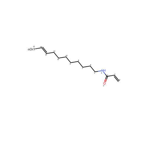 C=CC(=O)NCCCCCCCCC=CCCCCCCCC